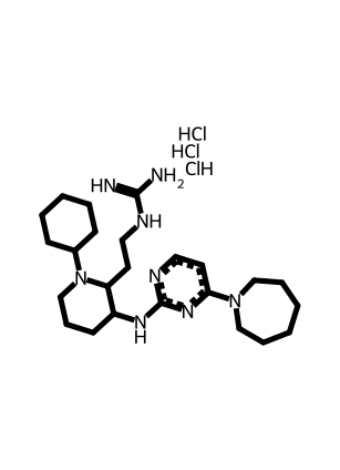 Cl.Cl.Cl.N=C(N)NCCC1C(Nc2nccc(N3CCCCCC3)n2)CCCN1C1CCCCC1